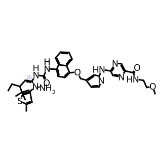 CCC(/C=C(/NC(=O)Nc1ccc(OCc2ccnc(Nc3cnc(C(=O)NCCOC)cn3)c2)c2ccccc12)N(N)c1csc(C)c1)C(C)(C)C